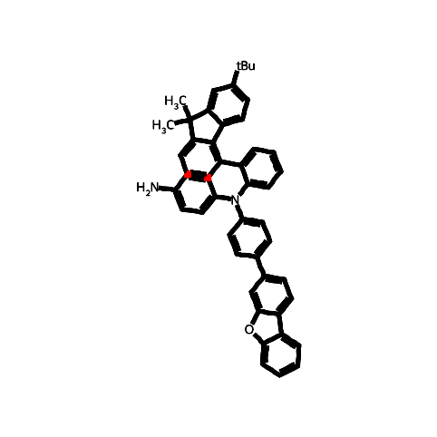 CC(C)(C)c1ccc2c(c1)C(C)(C)c1cccc(-c3ccccc3N(c3ccc(N)cc3)c3ccc(-c4ccc5c(c4)oc4ccccc45)cc3)c1-2